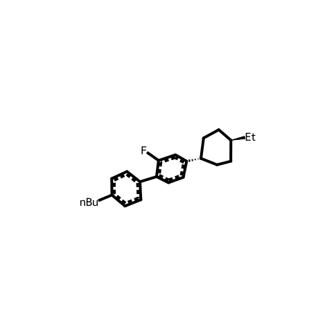 CCCCc1ccc(-c2ccc([C@H]3CC[C@H](CC)CC3)cc2F)cc1